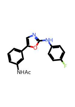 CC(=O)Nc1cccc(-c2cnc(Nc3ccc(F)cc3)o2)c1